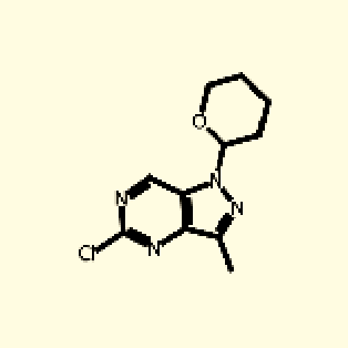 Cc1nn(C2CCCCO2)c2cnc(Cl)nc12